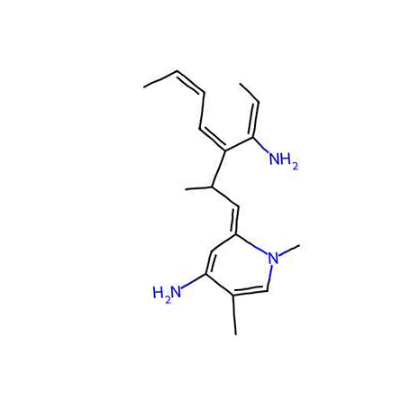 C\C=C/C=C(\C(N)=C/C)C(C)/C=C1\C=C(N)C(C)=CN1C